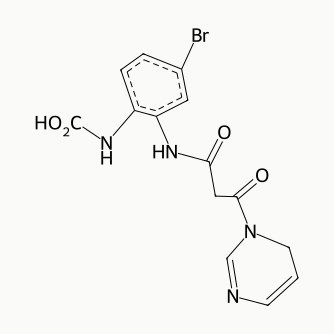 O=C(O)Nc1ccc(Br)cc1NC(=O)CC(=O)N1C=NC=CC1